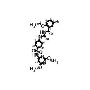 CCOc1ccc(Br)cc1C(=O)NC(=S)Nc1ccc(S(=O)(=O)Nc2cc(OC)nc(OC)n2)cc1